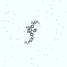 COC(=O)c1ccc2c(c1)NC(=O)/C2=C(\Nc1ccc(CN2CCN(C)CC2)cc1)c1cccnc1